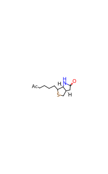 CC(=O)CCCCC1SC[C@@H]2CC(=O)N[C@H]12